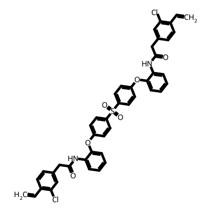 C=Cc1ccc(CC(=O)Nc2ccccc2Oc2ccc(S(=O)(=O)c3ccc(Oc4ccccc4NC(=O)Cc4ccc(C=C)c(Cl)c4)cc3)cc2)cc1Cl